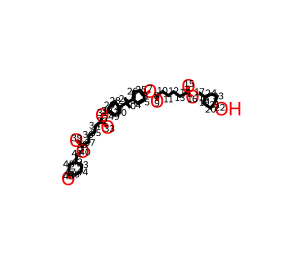 CC(C)(c1ccc(OC(=O)CCCCC(=O)OCC2CCC(O)CC2)cc1)c1ccc(OC(=O)CCCCC(=O)OCC2CCC3OC3C2)cc1